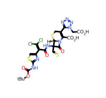 CC(C)(C)OC(=O)Nc1nc(C(C(=O)NC2(C=S)C(=O)N3C(C(=O)O)=C(c4nnnn4CC(=O)O)CS[C@H]32)=C(Cl)Cl)cs1